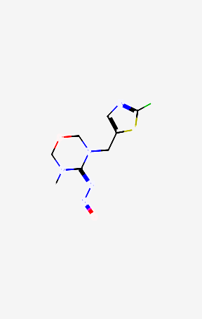 CN1COCN(Cc2cnc(Cl)s2)/C1=N/N=O